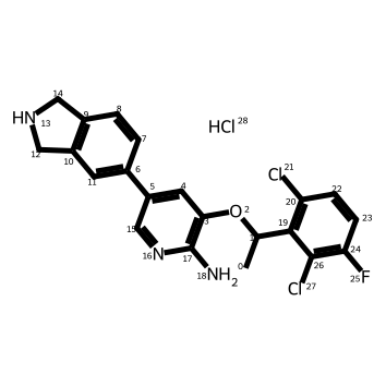 CC(Oc1cc(-c2ccc3c(c2)CNC3)cnc1N)c1c(Cl)ccc(F)c1Cl.Cl